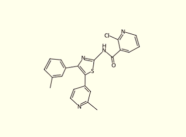 Cc1cccc(-c2nc(NC(=O)c3cccnc3Cl)sc2-c2ccnc(C)c2)c1